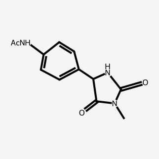 CC(=O)Nc1ccc(C2NC(=O)N(C)C2=O)cc1